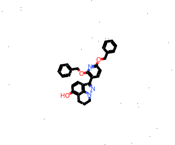 Oc1ccc2c(-c3ccc(OCc4ccccc4)nc3OCc3ccccc3)nn3c2c1CCC3